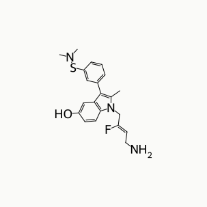 Cc1c(-c2cccc(SN(C)C)c2)c2cc(O)ccc2n1C/C(F)=C/CN